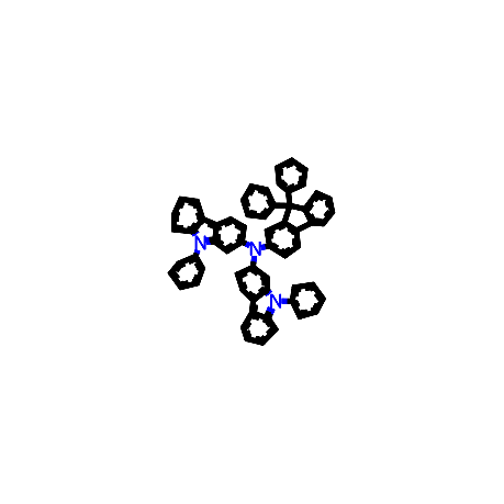 c1ccc(-n2c3ccccc3c3ccc(N(c4ccc5c(c4)C(c4ccccc4)(c4ccccc4)c4ccccc4-5)c4ccc5c6ccccc6n(-c6ccccc6)c5c4)cc32)cc1